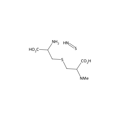 CNC(CSCC(N)C(=O)O)C(=O)O.N=S